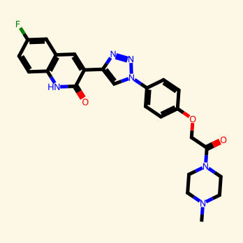 CN1CCN(C(=O)COc2ccc(-n3cc(-c4cc5cc(F)ccc5[nH]c4=O)nn3)cc2)CC1